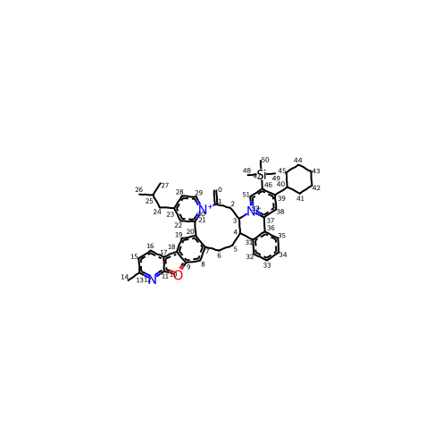 C=C1CC2C(CCc3cc4oc5nc(C)ccc5c4cc3-c3cc(CC(C)C)cc[n+]31)c1ccccc1-c1cc(C3CCCCC3)c([Si](C)(C)C)c[n+]12